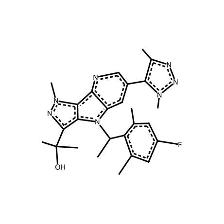 Cc1cc(F)cc(C)c1C(C)n1c2cc(-c3c(C)nnn3C)cnc2c2c1c(C(C)(C)O)nn2C